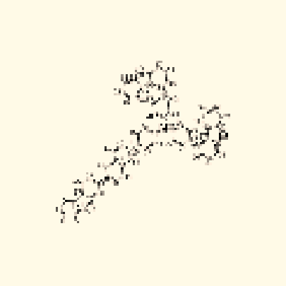 c1ccc2c(c1)oc1cc(-c3ccc4cc(-c5ccc(N(c6ccc(-c7cccc8oc9ccccc9c78)cc6)c6ccc(-c7cccc8oc9ccccc9c78)cc6)cc5)ccc4c3)ccc12